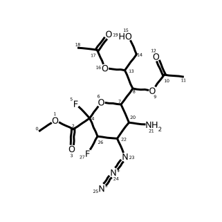 COC(=O)C1(F)OC(C(OC(C)=O)C(CO)OC(C)=O)C(N)C(N=[N+]=[N-])C1F